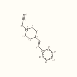 C#CCN1CCC(/C=C/c2ccccc2)CC1